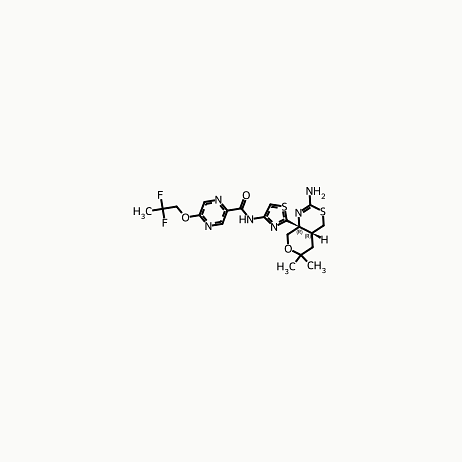 CC(F)(F)COc1cnc(C(=O)Nc2csc([C@]34COC(C)(C)C[C@H]3CSC(N)=N4)n2)cn1